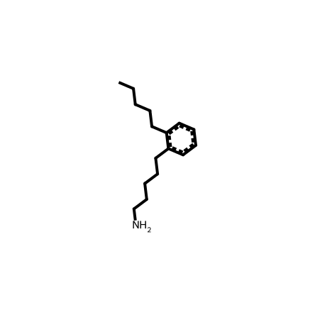 CCCCCc1ccccc1CCCCCN